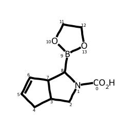 O=C(O)N1CC2CC=CC2C1B1OCCO1